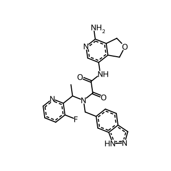 CC(c1ncccc1F)N(Cc1ccc2cn[nH]c2c1)C(=O)C(=O)Nc1cnc(N)c2c1COC2